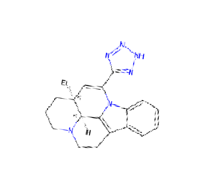 CC[C@@]12C=C(c3nn[nH]n3)n3c4c(c5ccccc53)CCN(CCC1)[C@H]42